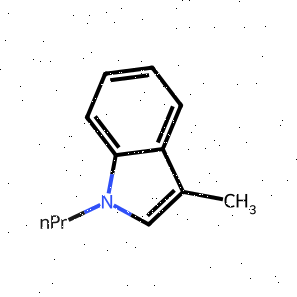 CCCn1cc(C)c2ccccc21